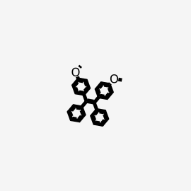 COc1ccc(C(=C(c2ccccc2)c2ccc(OC)cc2)c2ccccc2)cc1